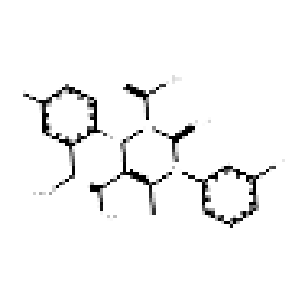 CNCc1cc(C#N)ccc1[C@@H]1C(C(=O)OC)=C(C)N(c2cccc(C(F)(F)F)c2)C(=N)N1C(N)=O